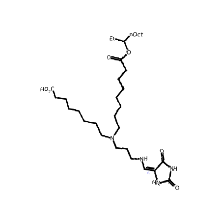 CCCCCCCCC(CC)OC(=O)CCCCCCCN(CCCCCCCC(=O)O)CCCN/C=C1/NC(=O)NC1=O